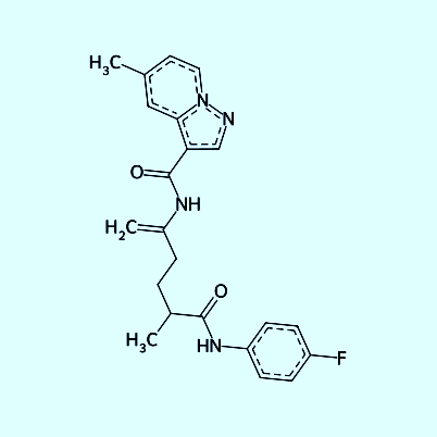 C=C(CCC(C)C(=O)Nc1ccc(F)cc1)NC(=O)c1cnn2ccc(C)cc12